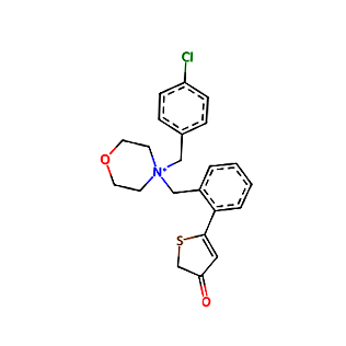 O=C1C=C(c2ccccc2C[N+]2(Cc3ccc(Cl)cc3)CCOCC2)SC1